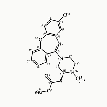 CCC(C)OC(=O)C[C@H]1CN(C2=Nc3cc(Cl)ccc3Oc3ccccc32)CCN1C